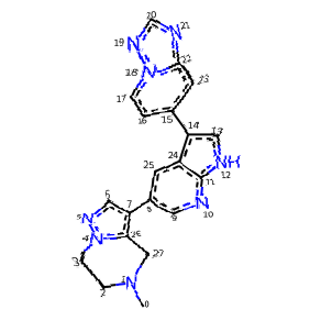 CN1CCn2ncc(-c3cnc4[nH]cc(-c5ccn6ncnc6c5)c4c3)c2C1